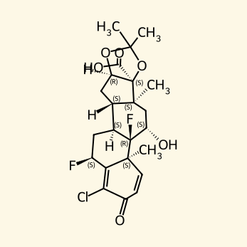 CC1(C)O[C@@H]2C[C@H]3[C@@H]4C[C@H](F)C5=C(Cl)C(=O)C=C[C@]5(C)[C@@]4(F)[C@@H](O)C[C@]3(C)[C@]2(C(=O)O)O1